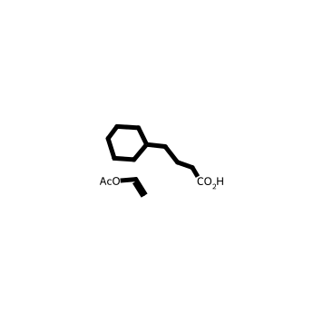 C=COC(C)=O.O=C(O)CCCC1CCCCC1